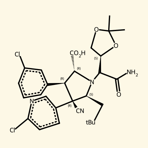 CC(C)(C)C[C@@H]1N(C(C(N)=O)[C@H]2COC(C)(C)O2)[C@@H](C(=O)O)[C@H](c2cccc(Cl)c2)[C@@]1(C#N)c1ccc(Cl)nc1